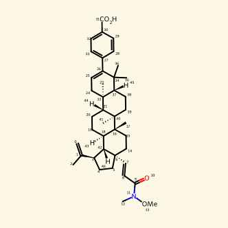 C=C(C)[C@@H]1CC[C@]2(/C=C/C(=O)N(C)OC)CC[C@]3(C)[C@H](CC[C@@H]4[C@@]5(C)CC=C(c6ccc(C(=O)O)cc6)C(C)(C)[C@@H]5CC[C@]43C)[C@@H]12